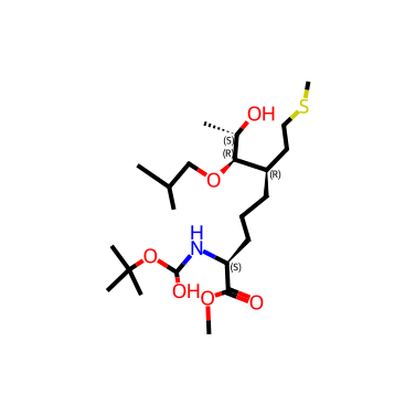 COC(=O)[C@H](CCC[C@H](CCSC)[C@@H](OCC(C)C)[C@H](C)O)NC(O)OC(C)(C)C